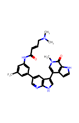 CN(C)CC=CC(=O)Nc1cc(-c2cnc3[nH]cc(-c4cn(C)c(=O)c5[nH]ccc45)c3c2)cc(C(F)(F)F)c1